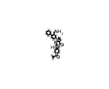 NCc1cc(-n2ncc3c(=O)n(CC4(O)CCN(C(=O)C5CC5)CC4)cnc32)ccc1-c1ccccc1